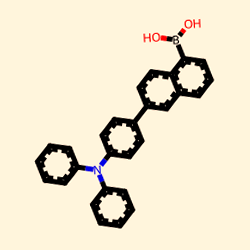 OB(O)c1cccc2cc(-c3ccc(N(c4ccccc4)c4ccccc4)cc3)ccc12